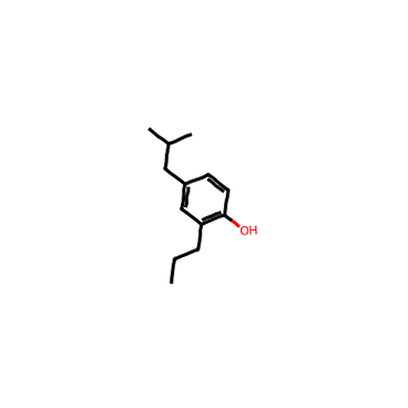 CCCc1cc(CC(C)C)ccc1O